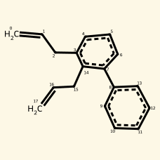 C=CCc1cccc(-c2[c]cccc2)c1CC=C